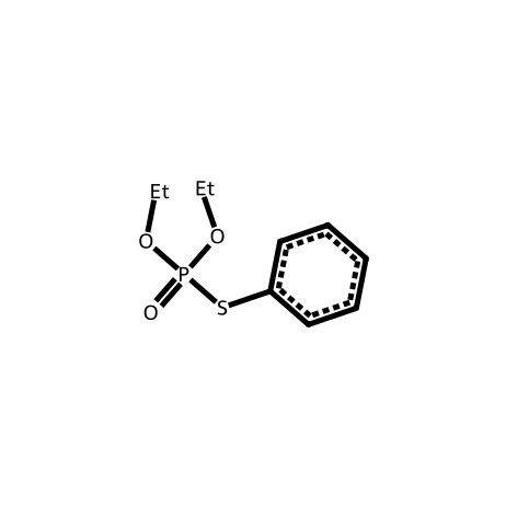 CCOP(=O)(OCC)Sc1ccccc1